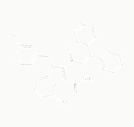 COc1cccc2c1c(C(N)=O)c(C(=O)OC(c1ccccc1)c1ccncc1)n2Cc1cccc(C#N)c1